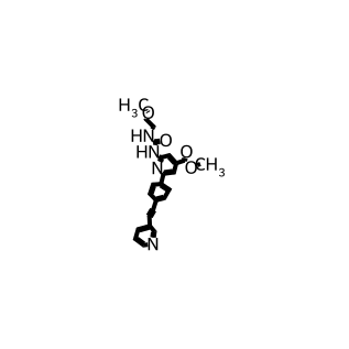 COCCNC(=O)Nc1cc(C(=O)OC)cc(-c2ccc(C#Cc3cccnc3)cc2)n1